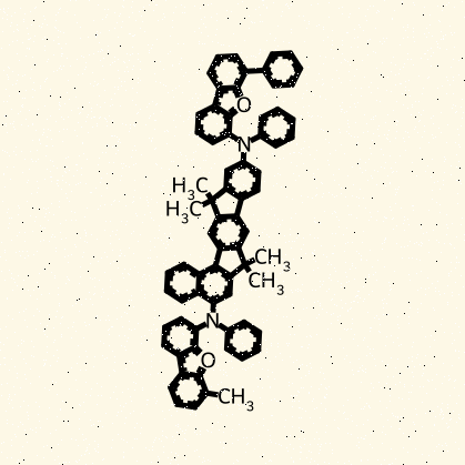 Cc1cccc2c1oc1c(N(c3ccccc3)c3cc4c(c5ccccc35)-c3cc5c(cc3C4(C)C)-c3ccc(N(c4ccccc4)c4cccc6c4oc4c(-c7ccccc7)cccc46)cc3C5(C)C)cccc12